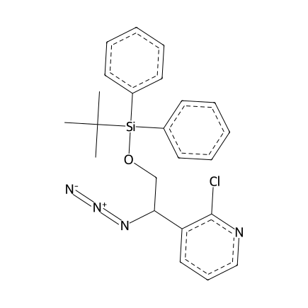 CC(C)(C)[Si](OCC(N=[N+]=[N-])c1cccnc1Cl)(c1ccccc1)c1ccccc1